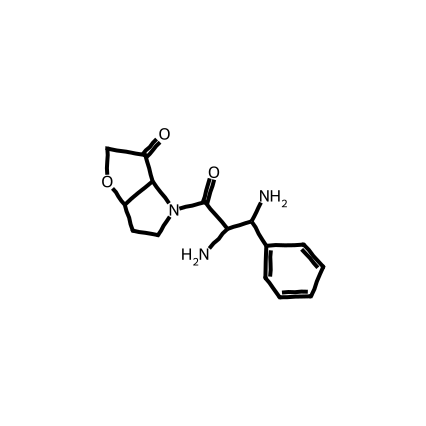 NC(C(=O)N1CCC2OCC(=O)C21)C(N)c1ccccc1